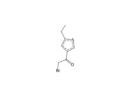 CCc1cc(C(=O)CBr)cs1